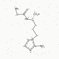 CC(C)(C)OC(=O)N[C@@H](CCCn1ccnc1[N+](=O)[O-])C(=O)O